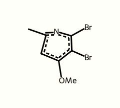 COc1cc(C)nc(Br)c1Br